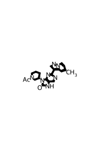 CC(=O)N1CCC[C@H](n2c(=O)[nH]c3cnc(-c4cnn5ccc(C)cc45)nc32)C1